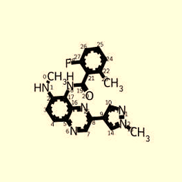 CNc1ccc2ncc(-c3cnn(C)c3)nc2c1NC(=O)c1c(C)cccc1F